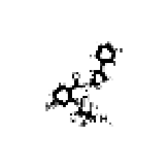 CC(F)(F)C(=O)Nc1cc(F)ccc1C(=O)Nc1nc(-c2ccccc2)cs1